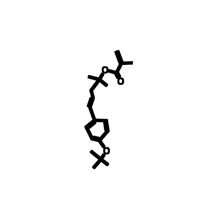 C=C(C)C(=O)OC(C)(C)CC=Cc1ccc(OC(C)(C)C)cc1